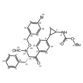 CC(C)(C)OC(=O)NC1CC1c1ccc(C(=O)[C@H](Cc2ccccc2)N(C=O)OCc2ccc(Br)cc2)cc1